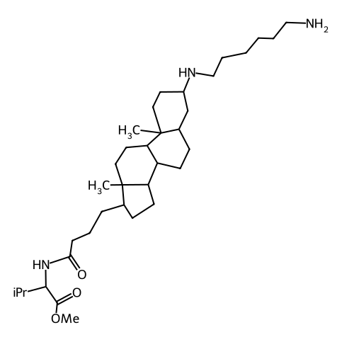 COC(=O)C(NC(=O)CCCC1CCC2C3CCC4CC(NCCCCCCN)CCC4(C)C3CCC12C)C(C)C